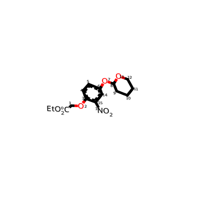 CCOC(=O)COc1ccc(OC2CCCCO2)cc1[N+](=O)[O-]